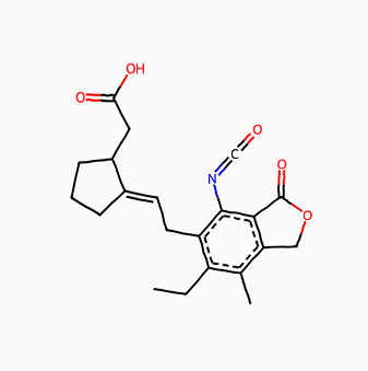 CCc1c(C)c2c(c(N=C=O)c1CC=C1CCCC1CC(=O)O)C(=O)OC2